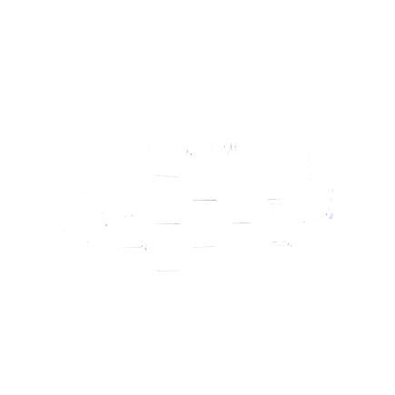 Cc1c[nH]c2ncc(-c3cc4c(c([C@@H]5CCCN5C(=O)O)c3)CN(CC3(O)CCOCC3)CC4)cc12